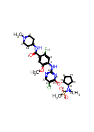 COc1cc(C(=O)NC2CCN(C)CC2)c(F)cc1Nc1ncc(Cl)c(O[C@@H]2CCC[C@H]2N(C)S(C)(=O)=O)n1